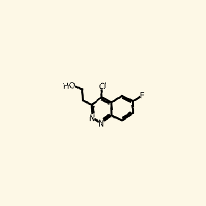 OCCc1nnc2ccc(F)cc2c1Cl